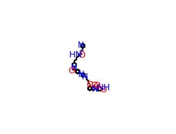 O=C(/C=C/c1cccnc1)NCCCCC1CCN(C(=O)c2ccc(N3CCN(CCCCOc4cccc5c4C(=O)N(C4CCC(=O)NC4=O)C5)CC3)cc2)CC1